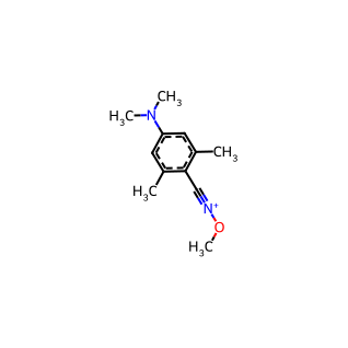 CO[N+]#Cc1c(C)cc(N(C)C)cc1C